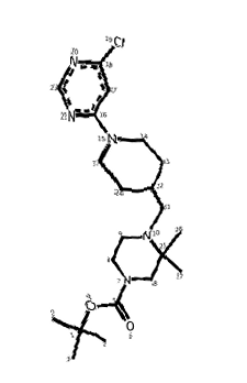 CC(C)(C)OC(=O)N1CCN(CC2CCN(c3cc(Cl)ncn3)CC2)C(C)(C)C1